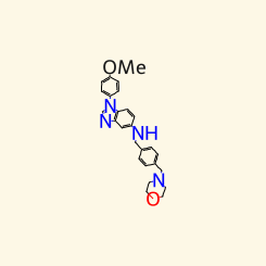 COc1ccc(-n2cnc3cc(NCc4ccc(CN5CCOCC5)cc4)ccc32)cc1